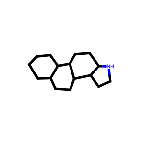 C1CCC2C(C1)CCC1C3CCNC3CCC21